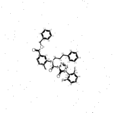 Cc1ccc(C(=O)OCc2ccccc2)cc1N(CCCc1ccccc1)C(=O)n1nnn(-c2c(F)cccc2F)c1=O